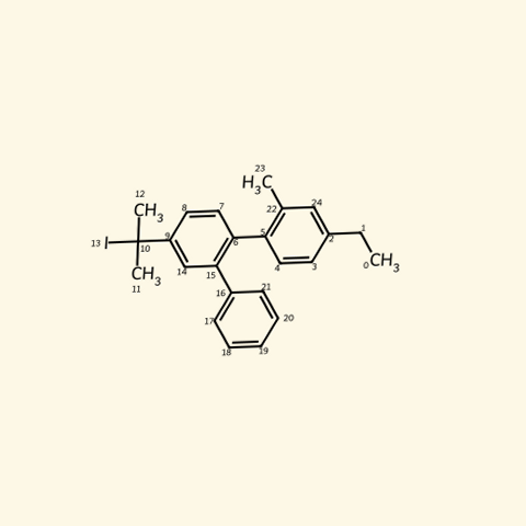 CCc1ccc(-c2ccc(C(C)(C)I)cc2-c2ccccc2)c(C)c1